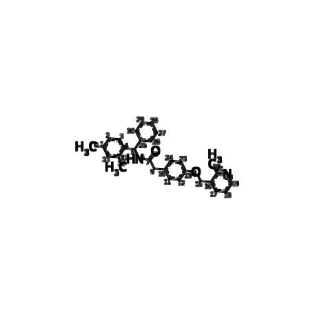 Cc1ccc(C(NC(=O)Cc2ccc(OCc3cccnc3C)cc2)c2ccccc2)c(C)c1